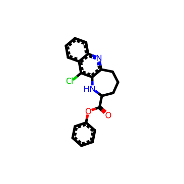 O=C(Oc1ccccc1)C1CCCc2nc3ccccc3c(Cl)c2N1